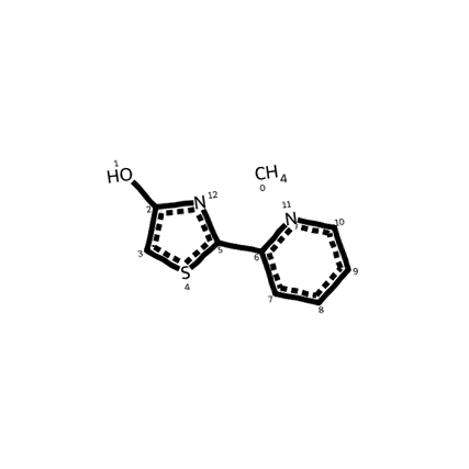 C.Oc1csc(-c2ccccn2)n1